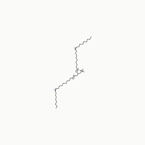 CCCCCCCC/C=C\CCCCCCCCOOCC(C[N+](C)(C)C)OOCCCCCCCC/C=C\CCCCCCCC